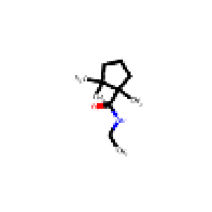 CCNC(=O)C1(C)CCCC1(C)C